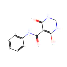 O=C1NCNC(O)=C1C(=O)Nc1ccccc1